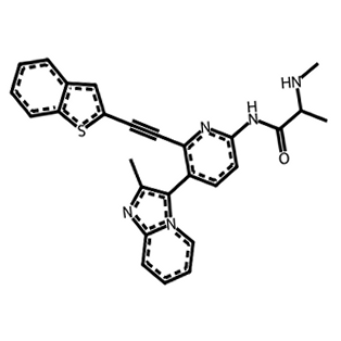 CNC(C)C(=O)Nc1ccc(-c2c(C)nc3ccccn23)c(C#Cc2cc3ccccc3s2)n1